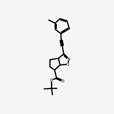 Cc1cccc(C#CC2=NOC3C(C(=O)OC(C)(C)C)CCC23)c1